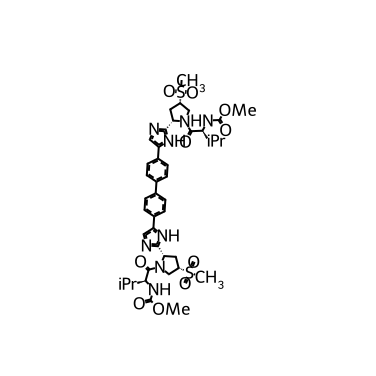 COC(=O)N[C@H](C(=O)N1C[C@@H](S(C)(=O)=O)C[C@H]1c1ncc(-c2ccc(-c3ccc(-c4cnc([C@@H]5C[C@H](S(C)(=O)=O)CN5C(=O)[C@@H](NC(=O)OC)C(C)C)[nH]4)cc3)cc2)[nH]1)C(C)C